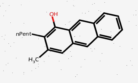 CCCCCc1c(C)cc2cc3ccccc3cc2c1O